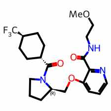 COCCNC(=O)c1ncccc1OC[C@H]1CCCN1C(=O)[C@H]1CC[C@H](C(F)(F)F)CC1